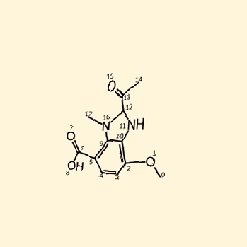 COc1ccc(C(=O)O)c2c1NC(C(C)=O)N2C